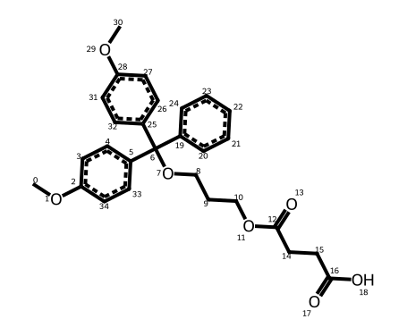 COc1ccc(C(OCCCOC(=O)CCC(=O)O)(c2ccccc2)c2ccc(OC)cc2)cc1